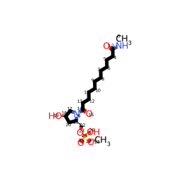 CNC(=O)CCCCCCCCCCC(=O)N1C[C@H](O)C[C@H]1COP(=O)(O)OC